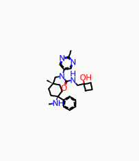 CN[C@]1(c2ccccc2)CC[C@@](C)(CN(C(=O)NCC2(O)CCC2)c2cnc(C)nc2)CC1